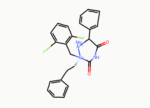 NN1C(c2ccccc2)C(=O)NC(=O)[N@@+]1(CCc1ccccc1)Cc1c(F)cccc1F